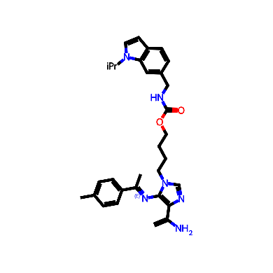 C=C(N)c1ncn(CCCCOC(=O)NCc2ccc3ccn(C(C)C)c3c2)c1/N=C(\C)c1ccc(C)cc1